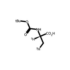 [2H]C[C@]([2H])(NC(=O)OC(C)(C)C)C(=O)O